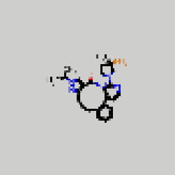 CC(C)n1cc2c(n1)CCCc1ccccc1-c1ccnc(N3CCC(C)(P)C3)c1NC2=O